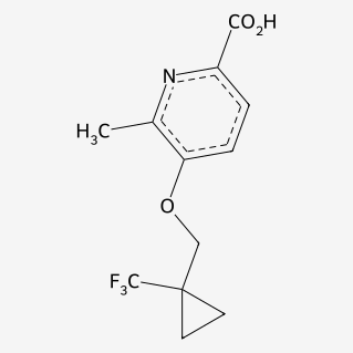 Cc1nc(C(=O)O)ccc1OCC1(C(F)(F)F)CC1